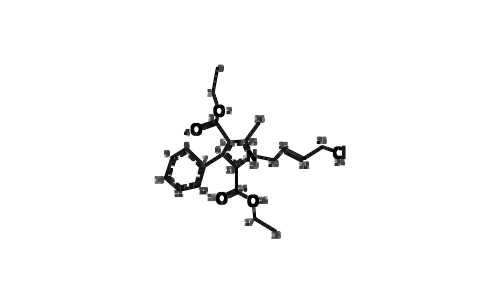 CCOC(=O)c1c(-c2ccccc2)c(C(=O)OCC)n(CC=CCCl)c1C